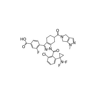 Cn1ncc2c1CN(C(=O)C1CCc3c(-c4ccc(C(=O)O)cc4F)nn(C(=O)c4c(Cl)cccc4C4(N(F)F)CC4)c3C1)C2